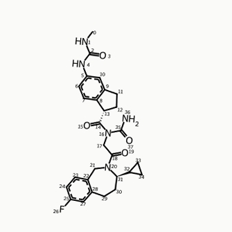 CNC(=O)Nc1ccc2c(c1)CC[C@@H]2C(=O)N(CC(=O)N1Cc2ccc(F)cc2CC[C@@H]1C1CC1)C(N)=O